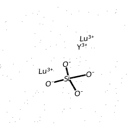 [Lu+3].[Lu+3].[O-][Si]([O-])([O-])[O-].[Y+3]